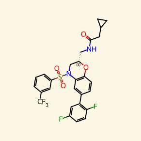 O=C(CC1CC1)NC[C@H]1CN(S(=O)(=O)c2cccc(C(F)(F)F)c2)c2cc(-c3cc(F)ccc3F)ccc2O1